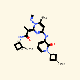 C=NN1C(NC)=CC(Nc2cccn([C@H]3C[C@@H](OC)C3)c2=O)=N/C1=C(/C)C(=O)N[C@H]1CC[C@@H]1OC